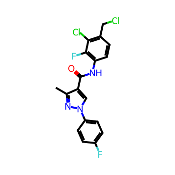 Cc1nn(-c2ccc(F)cc2)cc1C(=O)Nc1ccc(CCl)c(Cl)c1F